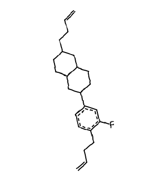 C=CCCc1ccc(C2CCC3CC(CCC=C)CCC3C2)cc1F